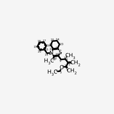 C=C(OCC)C(=C)[C@@H](C)CC1=C(C)N(Cc2ccccc2)C2=C(CCCC2)S1